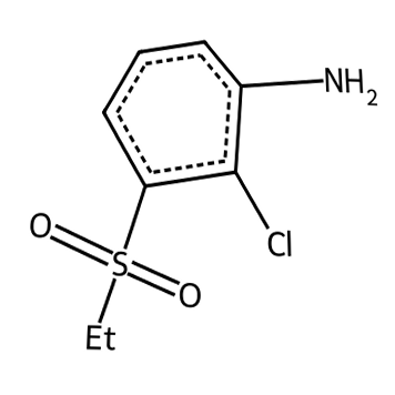 CCS(=O)(=O)c1cccc(N)c1Cl